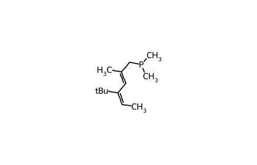 C/C=C(\C=C(/C)CP(C)C)C(C)(C)C